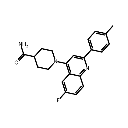 Cc1ccc(-c2cc(N3CCC(C(N)=O)CC3)c3cc(F)ccc3n2)cc1